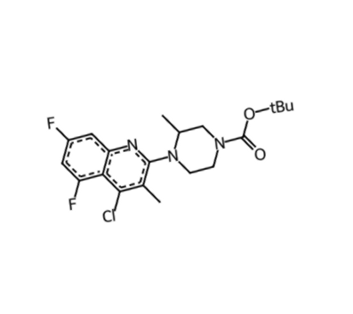 Cc1c(N2CCN(C(=O)OC(C)(C)C)CC2C)nc2cc(F)cc(F)c2c1Cl